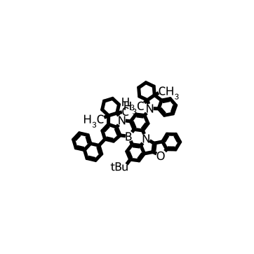 CC(C)(C)c1cc2c3c(c1)c1oc4ccccc4c1n3-c1cc(N3c4ccccc4C4(C)CCCCC34C)cc3c1B2c1cc(-c2cccc4ccccc24)cc2c1N3C1(C)CCCCC21C